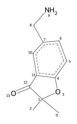 CC1(C)Oc2ccc(CN)cc2C1=O